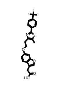 Cc1sc(-c2ccc(C(F)(F)F)cc2)nc1CCOc1ccc2c(CC(=O)O)coc2c1